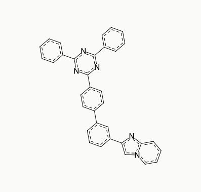 c1ccc(-c2nc(-c3ccccc3)nc(-c3ccc(-c4cccc(-c5cn6ccccc6n5)c4)cc3)n2)cc1